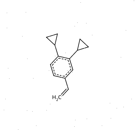 C=Cc1ccc(C2CC2)c(C2CC2)c1